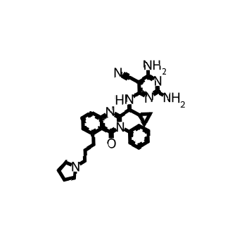 N#Cc1c(N)nc(N)nc1NC(c1nc2cccc(CCCN3CCCC3)c2c(=O)n1-c1ccccc1)C1CC1